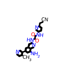 Cc1ccncc1-c1cc(N)c2cnc(NC(=O)C(=O)Nc3ccc(CCC#N)nc3)cc2c1